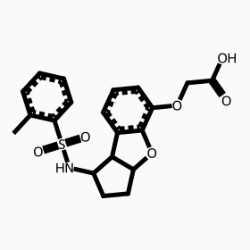 Cc1ccccc1S(=O)(=O)NC1CCC2Oc3c(OCC(=O)O)cccc3C12